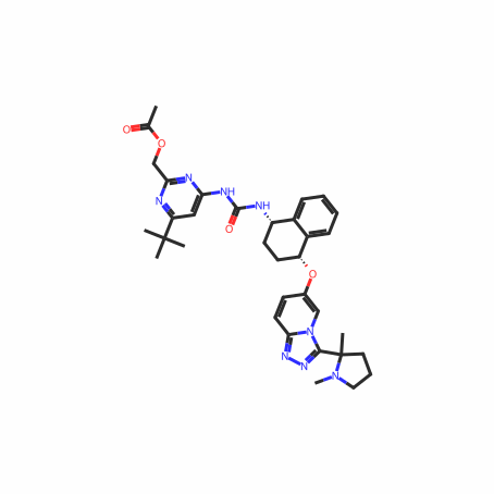 CC(=O)OCc1nc(NC(=O)N[C@H]2CC[C@@H](Oc3ccc4nnc(C5(C)CCCN5C)n4c3)c3ccccc32)cc(C(C)(C)C)n1